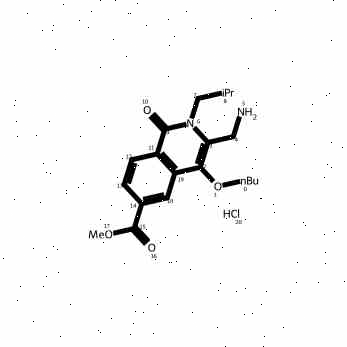 CCCCOc1c(CN)n(CC(C)C)c(=O)c2ccc(C(=O)OC)cc12.Cl